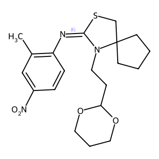 Cc1cc([N+](=O)[O-])ccc1/N=C1/SCC2(CCCC2)N1CCC1OCCCO1